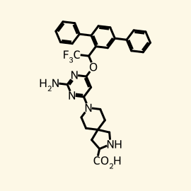 Nc1nc(OC(c2cc(-c3ccccc3)ccc2-c2ccccc2)C(F)(F)F)cc(N2CCC3(CC2)CNC(C(=O)O)C3)n1